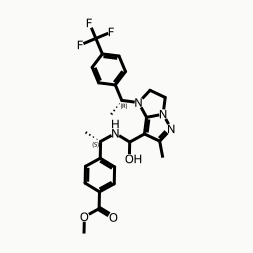 COC(=O)c1ccc([C@H](C)NC(O)c2c(C)nn3c2N([C@H](C)c2ccc(C(F)(F)F)cc2)CC3)cc1